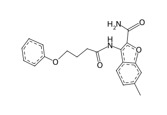 Cc1ccc2c(NC(=O)CCCOc3ccccc3)c(C(N)=O)oc2c1